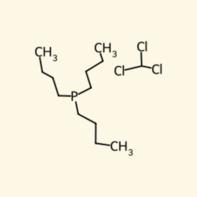 CCCCP(CCCC)CCCC.ClC(Cl)Cl